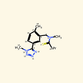 CCCC(=S)N(C)Cc1cc(-c2nnnn2C)ccc1C